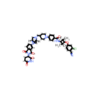 CC1(C)C(NC(=O)c2ccc(N3CCC(CN4C[C@H]5C[C@@H]4CN5c4ccc5c(c4)C(=O)N(C4CCC(=O)NC4=O)C5=O)CC3)cc2)C(C)(C)C1Oc1ccc(C#N)c(Cl)c1